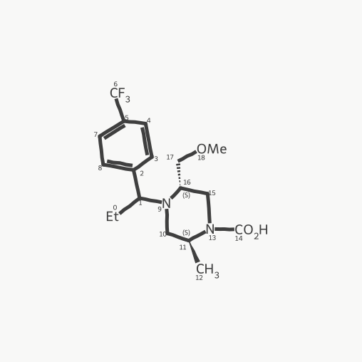 CCC(c1ccc(C(F)(F)F)cc1)N1C[C@H](C)N(C(=O)O)C[C@H]1COC